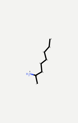 CCCCCC[C](C)N